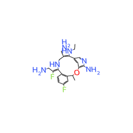 CCN/C1=C(\CN)CN/C(=C(/F)CN)c2ccc(F)cc2C(C)Oc2cc1cnc2N